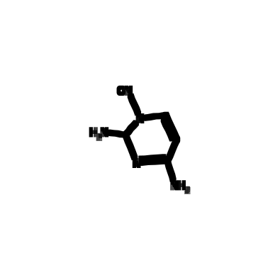 NC1=NC(N)N(N=O)C=C1